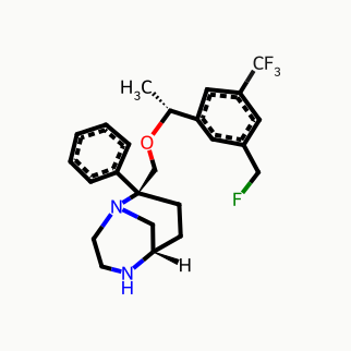 C[C@@H](OC[C@@]1(c2ccccc2)CC[C@H]2CN1CCN2)c1cc(CF)cc(C(F)(F)F)c1